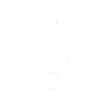 Cl.NOOCCOc1ccccc1